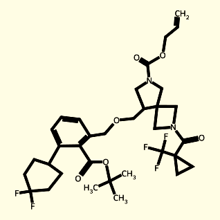 C=CCOC(=O)N1CC(COCc2cccc(C3CCC(F)(F)CC3)c2C(=O)OC(C)(C)C)C2(C1)CN(C(=O)C1(C(F)(F)F)CC1)C2